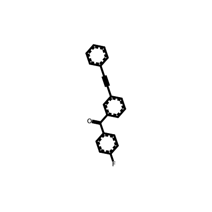 O=C(c1ccc(F)cc1)c1cccc(C#Cc2ccccc2)c1